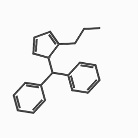 CCCC1=CC=C[C]1C(c1ccccc1)c1ccccc1